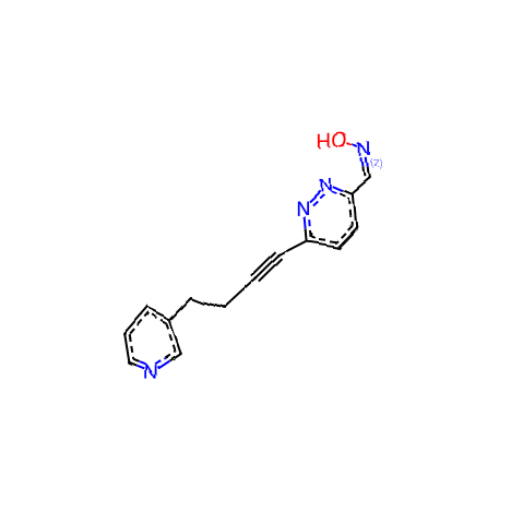 O/N=C\c1ccc(C#CCCc2cccnc2)nn1